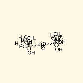 CC1=C[C@H](c2c(O)cc(O)cc2CCCCO[N+](=O)OCCCCc2cc(O)cc(O)c2[C@H]2C=C(C)[C@@H]3C[C@@H]2C3(C)C)[C@@H]2C[C@@H]1C2(C)C